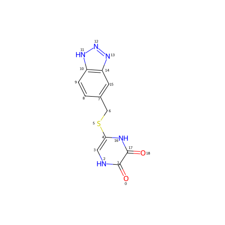 O=c1[nH]cc(SCc2ccc3[nH]nnc3c2)[nH]c1=O